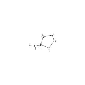 CCB1OCCO1